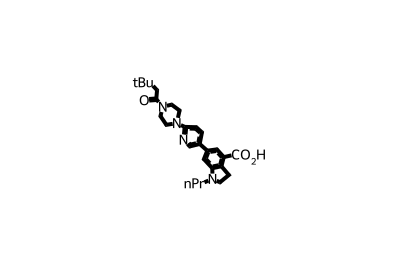 CCCN1CCc2c(C(=O)O)cc(-c3ccc(N4CCN(C(=O)CC(C)(C)C)CC4)nc3)cc21